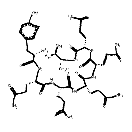 C[C@@H](O)[C@H](NC(=O)[C@H](CCC(N)=O)NC(=O)[C@H](CCC(N)=O)NC(=O)[C@H](CCC(N)=O)NC(=O)[C@H](CCC(N)=O)NC(=O)[C@H](CCC(N)=O)NC(=O)[C@@H](N)Cc1ccc(O)cc1)C(=O)O